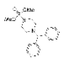 COP(=O)(OC)N1CCN(C(c2ccccc2)c2ccccc2)CC1